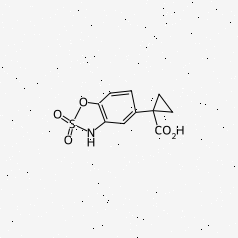 O=C(O)C1(c2ccc3c(c2)NS(=O)(=O)O3)CC1